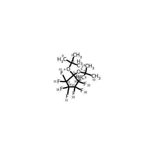 CC(C)(C)OC1(OC(C)(C)C)C(F)(F)C(F)(F)C(F)(F)C1(F)F